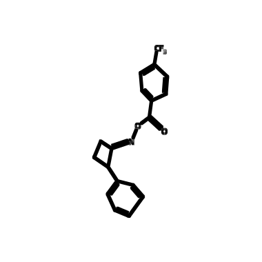 O=C(ON=C1CCC1c1ccccc1)c1ccc(C(F)(F)F)cc1